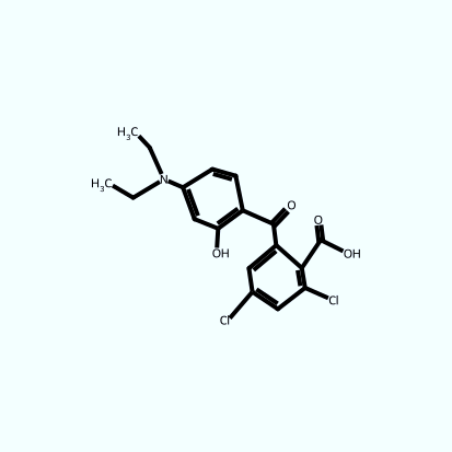 CCN(CC)c1ccc(C(=O)c2cc(Cl)cc(Cl)c2C(=O)O)c(O)c1